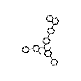 Cc1cc(-c2ccccc2)ccc1N(c1ccc(-c2ccc(-c3cccc4ccccc34)cc2)cc1)c1ccc(-c2ccccc2)cc1C